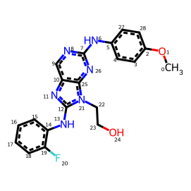 COc1ccc(Nc2ncc3nc(Nc4ccccc4F)n(CCO)c3n2)cc1